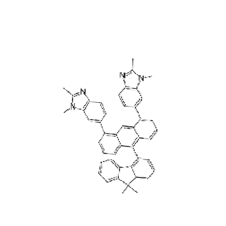 Cc1nc2ccc(-c3cccc4c(-c5cccc6c5-c5ccccc5C6(C)C)c5cccc(-c6ccc7nc(C)n(C)c7c6)c5cc34)cc2n1C